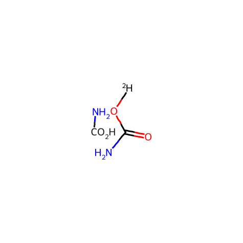 NC(=O)O.[2H]OC(N)=O